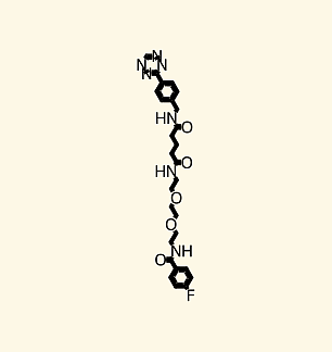 O=C(CCCC(=O)NCc1ccc(-c2nncnn2)cc1)NCCOCCOCCNC(=O)c1ccc(F)cc1